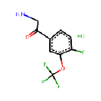 Cl.NCC(=O)c1ccc(F)c(OC(F)(F)F)c1